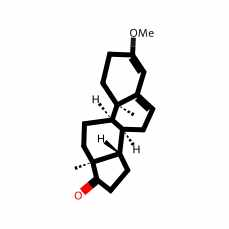 COC1=CC2=CC[C@@H]3[C@@H](CC[C@]4(C)C(=O)CC[C@@H]34)[C@@]2(C)CC1